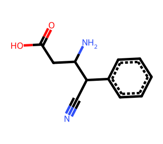 N#CC(c1ccccc1)C(N)CC(=O)O